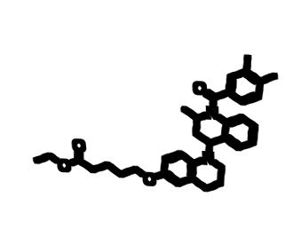 CCOC(=O)CCCCOc1ccc2c(c1)CCCN2C1CC(C)N(C(=O)c2ccc(C)c(C)c2)c2ccccc21